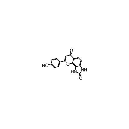 N#Cc1ccc(-c2cc(=O)c3ccc4[nH]c(=O)[nH]c4c3o2)cc1